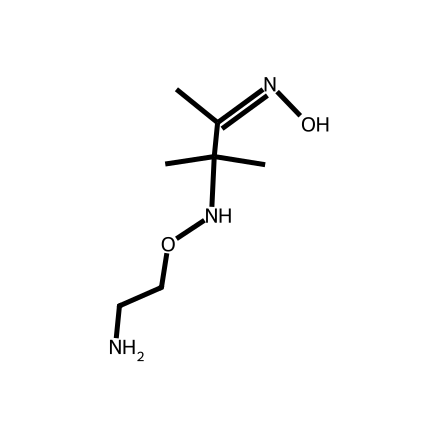 CC(=NO)C(C)(C)NOCCN